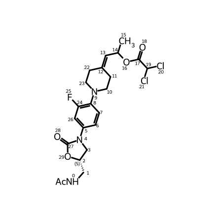 CC(=O)NC[C@H]1CN(c2ccc(N3CCC(=CC(C)OC(=O)C(Cl)Cl)CC3)c(F)c2)C(=O)O1